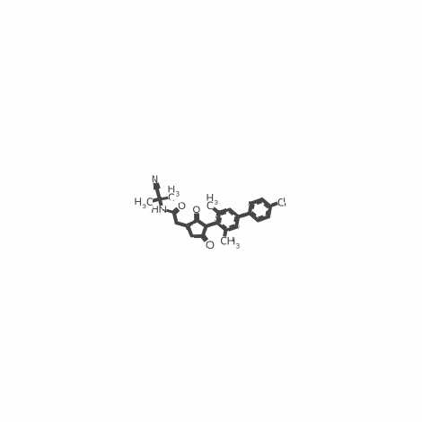 Cc1cc(-c2ccc(Cl)cc2)cc(C)c1C1C(=O)CC(CC(=O)NC(C)(C)C#N)C1=O